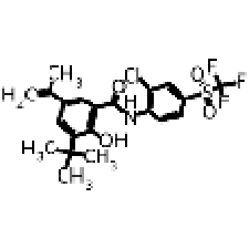 C=C(C)c1cc(C(=O)Nc2ccc(S(=O)(=O)C(F)(F)F)cc2Cl)c(O)c(C(C)(C)C)c1